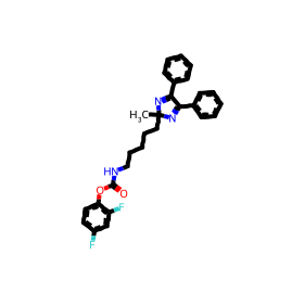 CC1(CCCCCNC(=O)Oc2ccc(F)cc2F)N=C(c2ccccc2)C(c2ccccc2)=N1